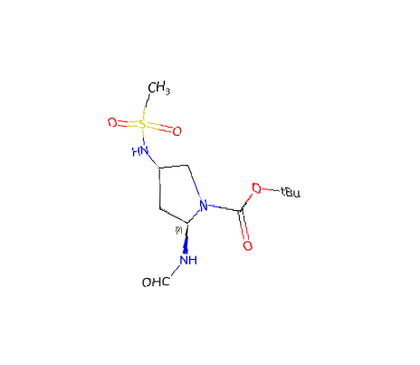 CC(C)(C)OC(=O)N1CC(NS(C)(=O)=O)C[C@@H]1NC=O